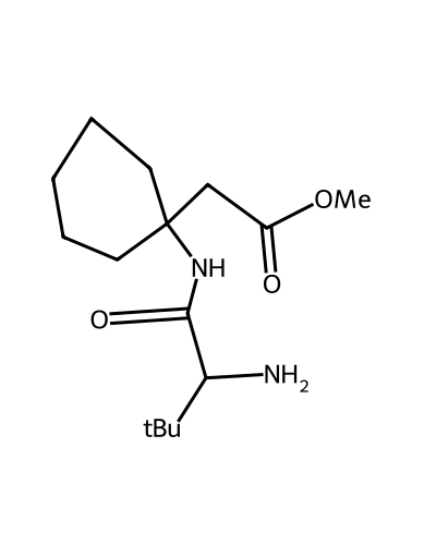 COC(=O)CC1(NC(=O)C(N)C(C)(C)C)CCCCC1